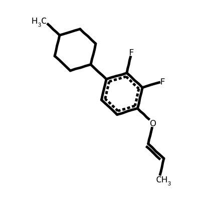 C/C=C/Oc1ccc(C2CCC(C)CC2)c(F)c1F